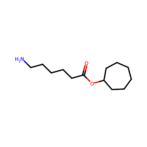 NCCCCCC(=O)OC1CCCCCC1